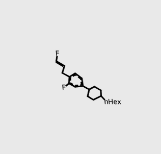 CCCCCCC1CCC(c2ccc(CC=CF)c(F)c2)CC1